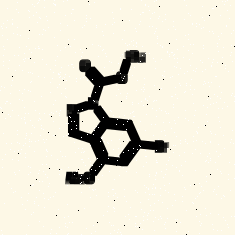 COc1cc(Br)cc2c1cnn2C(=O)OC(C)(C)C